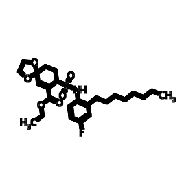 CCCCCCCCc1cc(F)ccc1NS(=O)(=O)C1CCC2(C=C1C(=O)OCC)OCCO2